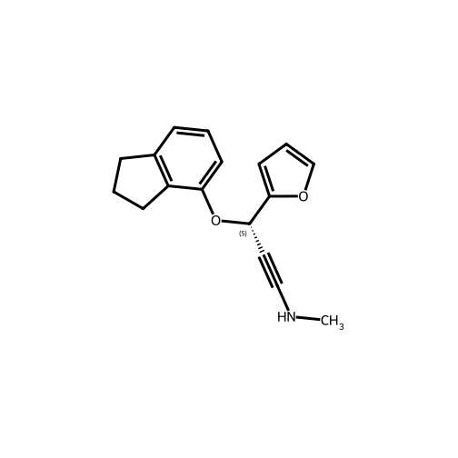 CNC#C[C@H](Oc1cccc2c1CCC2)c1ccco1